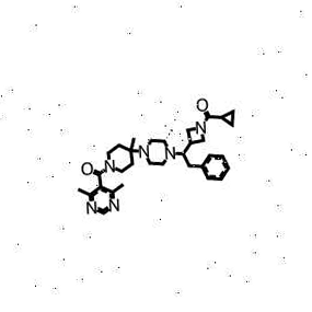 Cc1ncnc(C)c1C(=O)N1CCC(C)(N2CCN(C(Cc3ccccc3)C3CN(C(=O)C4CC4)C3)[C@@H](C)C2)CC1